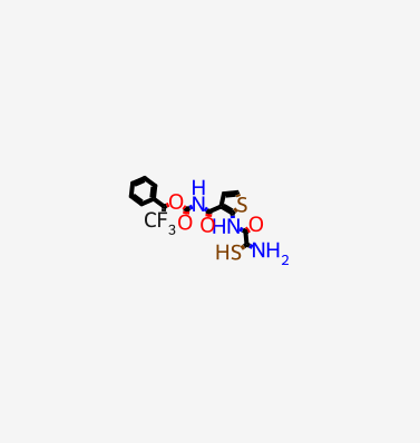 NC(S)C(=O)Nc1sccc1C(=O)NC(=O)OC(c1ccccc1)C(F)(F)F